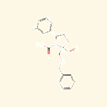 O=C[C@@]1(COCc2ccccc2)CC[C@@H](c2cccc(F)c2)N1C(=O)O